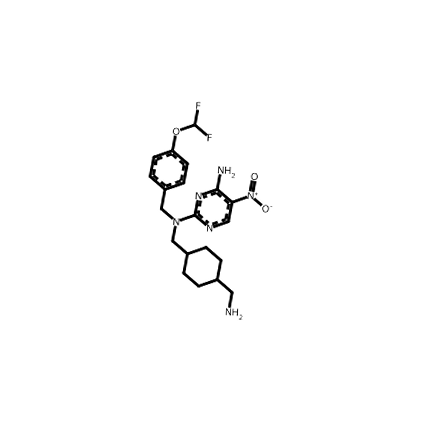 NCC1CCC(CN(Cc2ccc(OC(F)F)cc2)c2ncc([N+](=O)[O-])c(N)n2)CC1